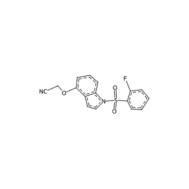 N#CCOc1cccc2c1ccn2S(=O)(=O)c1ccccc1F